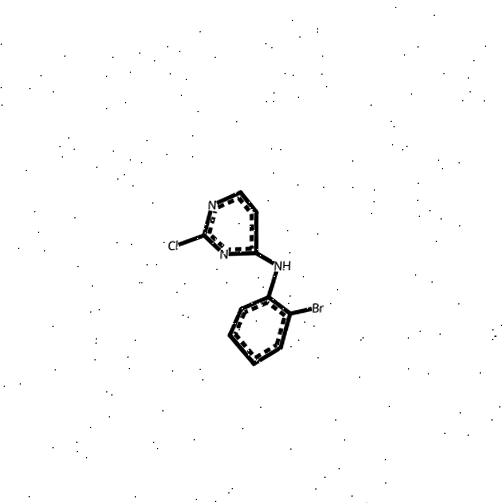 Clc1nccc(Nc2ccccc2Br)n1